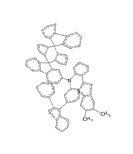 Cc1cc2cc(-c3ccccc3N(c3cccc(-c4c(-c5ccccc5)sc5ccccc45)c3)c3ccc4c(c3)C3(c5ccccc5-4)c4ccccc4C4(c5ccccc5-c5ccccc54)c4ccccc43)sc2cc1C